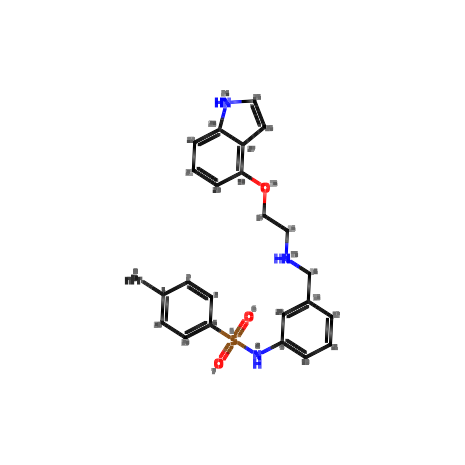 CCCc1ccc(S(=O)(=O)Nc2cccc(CNCCOc3cccc4[nH]ccc34)c2)cc1